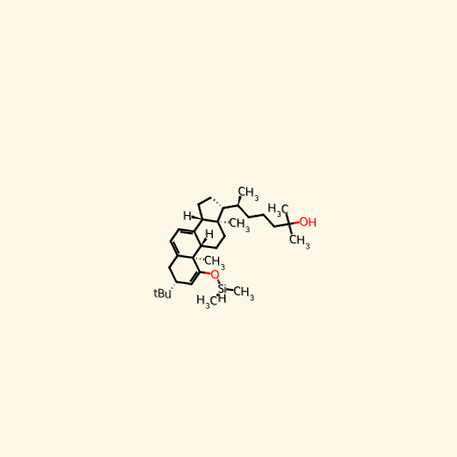 C[C@@H](CCCC(C)(C)O)[C@H]1CC[C@H]2C3=CC=C4C[C@@H](C(C)(C)C)C=C(O[SiH](C)C)[C@]4(C)[C@H]3CC[C@]12C